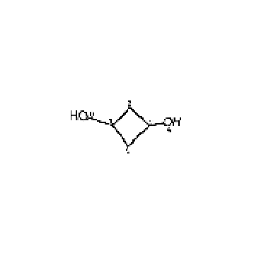 OC1CC(O)C1